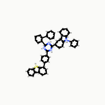 c1ccc(-c2ccccc2-c2nc(-c3ccc(-c4cccc5c4sc4ccccc45)cc3)nc(-c3ccc4c(c3)c3ccccc3n4-c3ccccc3)n2)cc1